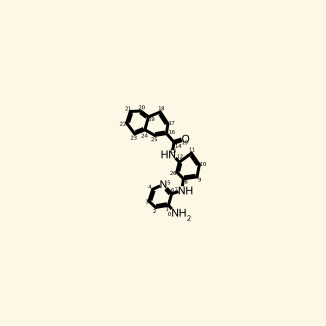 Nc1cccnc1Nc1cccc(NC(=O)c2ccc3ccccc3c2)c1